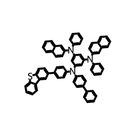 c1ccc(-c2ccc(N(c3ccc(-c4ccc5sc6ccccc6c5c4)cc3)c3cc(N(c4ccccc4)c4ccc5ccccc5c4)cc(N(c4ccccc4)c4ccc5ccccc5c4)c3)cc2)cc1